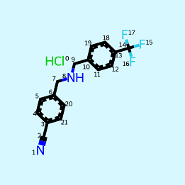 Cl.N#Cc1ccc(CNCc2ccc(C(F)(F)F)cc2)cc1